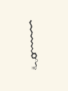 CCCCCCCCCCCCc1ccc(OCCO)cc1